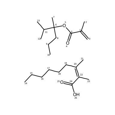 C=C(C)C(=O)OC(C)(CCC)C(C)C.CCCCCCC(C)=C(C)C(=O)O